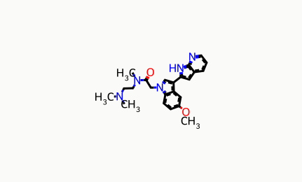 COc1ccc2c(c1)c(-c1cc3cccnc3[nH]1)cn2CC(=O)N(C)CCN(C)C